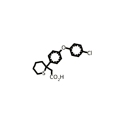 O=C(O)CC1(c2ccc(Oc3ccc(Cl)cc3)cc2)CCCCS1